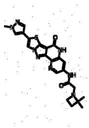 Cn1cc(-c2cn3nc4c5ncc(NC(=O)CN6CCC6(C)C)cc5[nH]c(=O)c4c3s2)cn1